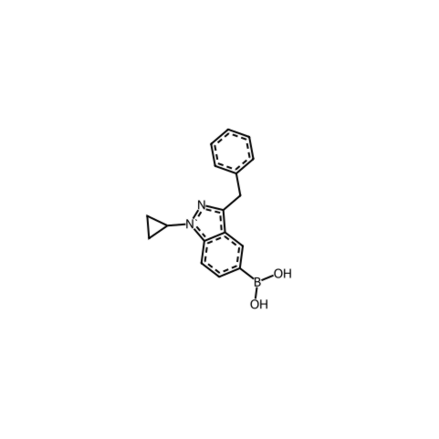 OB(O)c1ccc2c(c1)c(Cc1ccccc1)nn2C1CC1